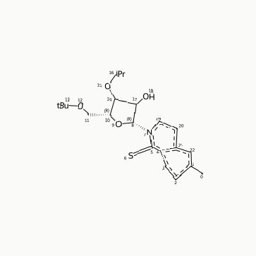 Cc1ccc2c(=S)n([C@@H]3O[C@H](COC(C)(C)C)C(OC(C)C)C3O)ccc2c1